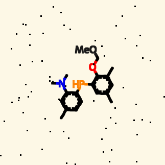 COCOc1c(C)cc(C)cc1Pc1ccc(C)cc1N(C)C